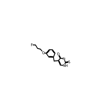 O=C1[N]C(=S)NC=C1Cc1cccc(OCCCF)c1